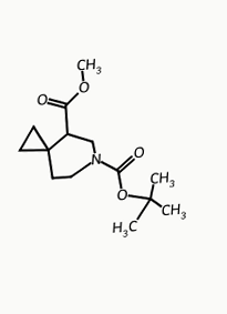 COC(=O)C1CN(C(=O)OC(C)(C)C)CCC12CC2